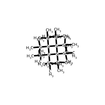 C[Si](C)(C)[Si]1([Si](C)(C)C)[Si]([Si](C)(C)C)([Si](C)(C)C)[Si]([Si](C)(C)C)([Si](C)(C)C)[Si]1([Si](C)(C)C)[Si](C)(C)C